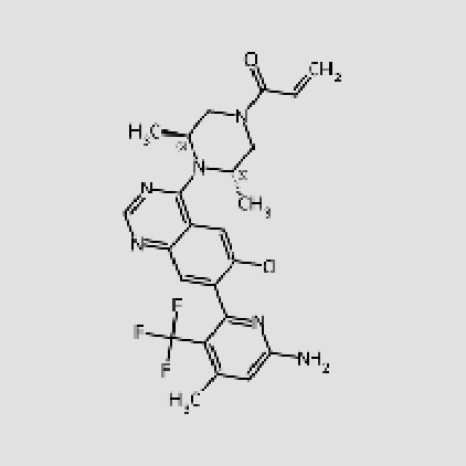 C=CC(=O)N1C[C@H](C)N(c2ncnc3cc(-c4nc(N)cc(C)c4C(F)(F)F)c(Cl)cc23)[C@@H](C)C1